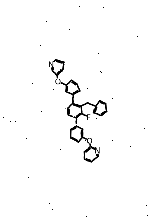 Fc1c(-c2cccc(Oc3ccccn3)c2)c[c]c(-c2cccc(Oc3cccnc3)c2)c1Cc1ccccc1